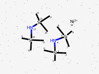 C[Si](C)(C)N[Si](C)(C)C.C[Si](C)(C)N[Si](C)(C)C.[Ni+2]